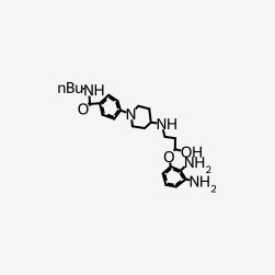 CCCCNC(=O)c1ccc(N2CCC(NCCC(O)Oc3cccc(N)c3N)CC2)cc1